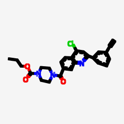 C#Cc1cccc(-c2cc(Cl)c3ccc(C(=O)N4CCN(C(=O)OCCC)CC4)cc3n2)c1